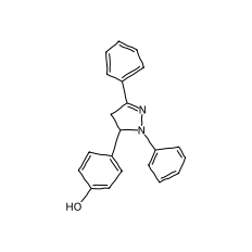 Oc1ccc(C2CC(c3ccccc3)=NN2c2ccccc2)cc1